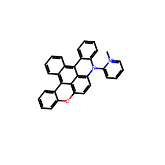 C[n+]1ccccc1N1c2ccccc2-c2c3ccccc3c3c4c(ccc1c24)Oc1ccccc1-3